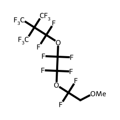 COCC(F)(F)OC(F)(F)C(F)(F)OC(F)(F)C(C(F)(F)F)(C(F)(F)F)C(F)(F)F